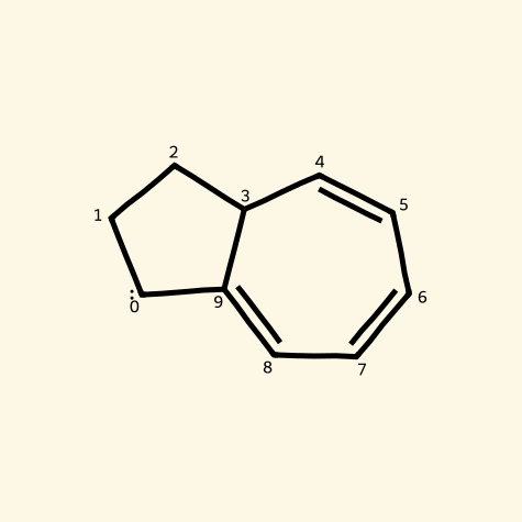 [C]1CCC2C=CC=CC=C12